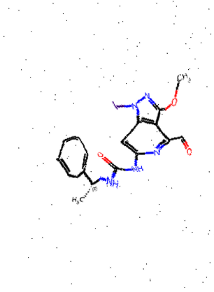 COc1nn(I)c2cc(NC(=O)N[C@H](C)c3ccccc3)nc(C=O)c12